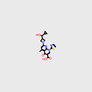 Cc1cc(N2CC(C(O)C3CC3)C2)nc2c1c(=O)c(C(=O)O)cn2-c1nccs1